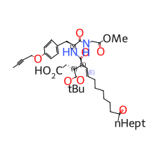 CC#CCOc1ccc(C[C@H](NC(=O)[C@@H](/C=C/CCCCCCC(=O)CCCCCCC)[C@@H](CC(=O)O)C(=O)OC(C)(C)C)C(=O)NCC(=O)OC)cc1